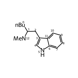 CCCCC(Cc1c[nH]c2ccccc12)NC